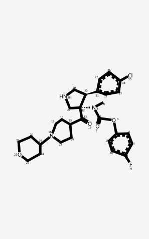 CN(C(=O)Oc1ccc(F)cc1)[C@]1(C(=O)C2CCN(C3CCOCC3)CC2)CNC[C@H]1c1ccc(Cl)cc1